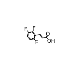 O=C(O)/C=C/c1c(F)ccc(F)c1F